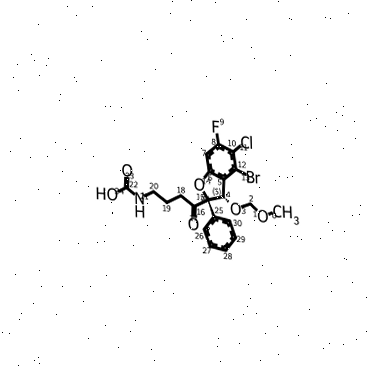 COCO[C@H]1c2c(cc(F)c(Cl)c2Br)O[C@]1(C(=O)CCCNC(=O)O)c1ccccc1